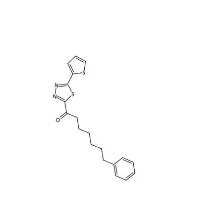 O=C(CCCCCCc1ccccc1)c1nnc(-c2cccs2)s1